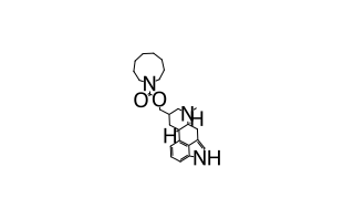 CN1CC(COC(=O)N2CCCCCCCC2)C[C@H]2c3cccc4[nH]cc(c34)C[C@@H]21